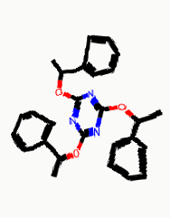 CC(Oc1nc(OC(C)c2ccccc2)nc(OC(C)c2ccccc2)n1)c1ccccc1